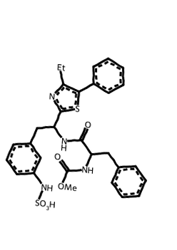 CCc1nc(C(Cc2cccc(NS(=O)(=O)O)c2)NC(=O)C(Cc2ccccc2)NC(=O)OC)sc1-c1ccccc1